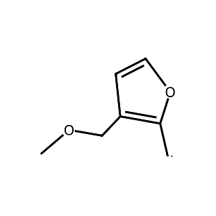 [CH2]c1occc1COC